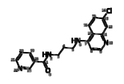 O=C(NCCCNc1ccnc2cc(Cl)ccc12)c1cccnc1